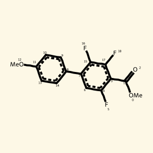 COC(=O)c1c(F)cc(-c2ccc(OC)cc2)c(F)c1F